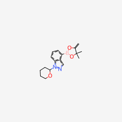 C=C1OB(c2cccc3c2cnn3C2CCCCO2)OC1(C)C